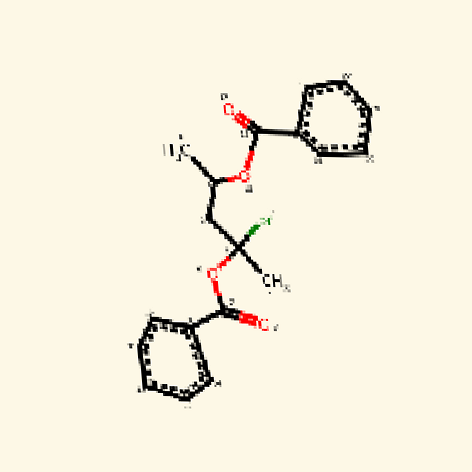 CC(CC(C)(Br)OC(=O)c1ccccc1)OC(=O)c1ccccc1